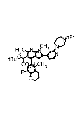 CCCN1CCCN(c2cc(-c3cc4c(-c5cc(F)c6c(c5C)CCCO6)c([C@H](OC(C)(C)C)C(=O)O)c(C)nc4n3C)ccn2)CC1